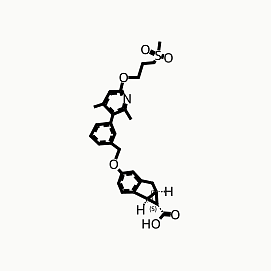 Cc1cc(OCCCS(C)(=O)=O)nc(C)c1-c1cccc(COc2ccc3c(c2)C[C@H]2[C@H](C(=O)O)[C@@H]32)c1